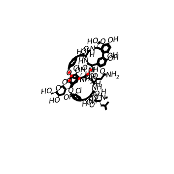 CN[C@H](CC(C)C)C(=O)N[C@H]1C(=O)N[C@@H](CCC(N)=O)C(=O)N[C@H]2C(=O)N[C@H]3C(=O)N[C@H](C(=O)N[C@H](C(=O)O)c4cc(O)cc(O)c4-c4cc3ccc4O)[C@H](O)c3ccc(c(Cl)c3)Oc3cc2cc(c3O[C@@H]2O[C@H](CO)[C@@H](O)[C@H](O)[C@H]2CC2C[C@](C)(N)[C@H](O)[C@H](C)O2)Oc2ccc(cc2Cl)[C@H]1O